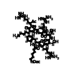 CCCCCCCCCCCCCCCC(=O)N[C@@H](Cc1ccccc1)C(=O)N[C@@H](CCCNC(=N)N)C(=O)N[C@@H](CO)C(=O)N[C@@H](CO)C(=O)N[C@@H](CCCNC(=N)N)C(=O)N[C@@H](CCC(=O)O)C(=O)N[C@@H](CCCCN)C(=O)N[C@@H](CCCNC(=N)N)C(C)=O